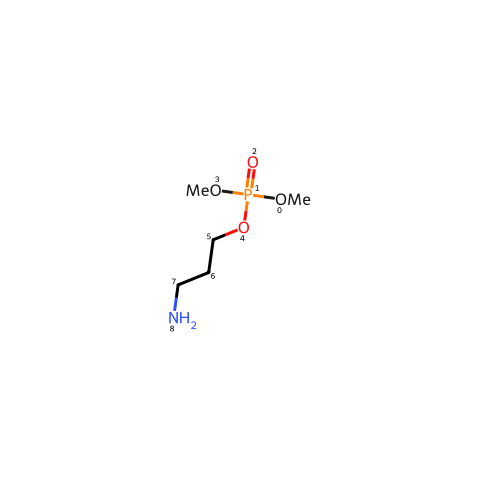 COP(=O)(OC)OCCCN